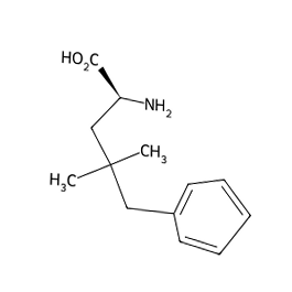 CC(C)(Cc1ccccc1)C[C@H](N)C(=O)O